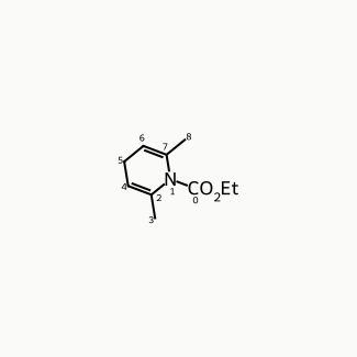 CCOC(=O)N1C(C)=CCC=C1C